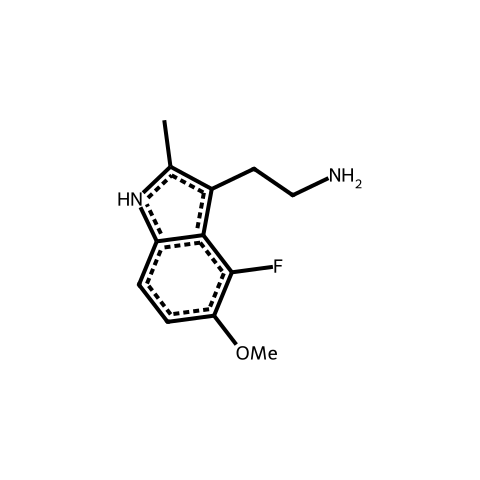 COc1ccc2[nH]c(C)c(CCN)c2c1F